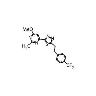 COc1cc(-c2nnc(CCc3ccc(C(F)(F)F)cc3)s2)nc(C)n1